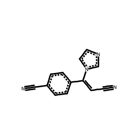 N#CC=C(c1ccc(C#N)cc1)n1ccnc1